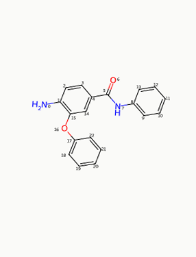 Nc1ccc(C(=O)Nc2ccccc2)cc1Oc1ccccc1